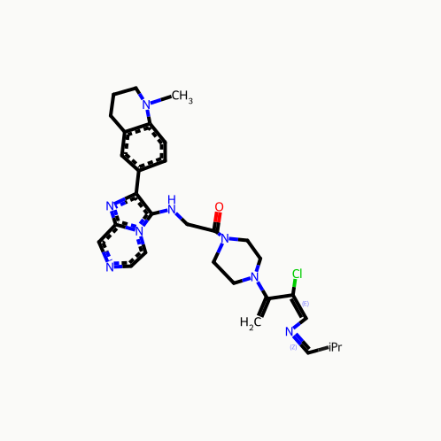 C=C(/C(Cl)=C\N=C/C(C)C)N1CCN(C(=O)CNc2c(-c3ccc4c(c3)CCCN4C)nc3cnccn23)CC1